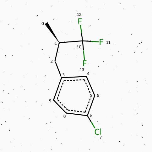 C[C@H](Cc1ccc(Cl)cc1)C(F)(F)F